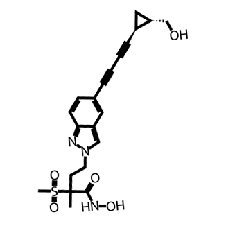 CC(CCn1cc2cc(C#CC#C[C@H]3C[C@@H]3CO)ccc2n1)(C(=O)NO)S(C)(=O)=O